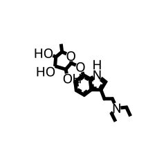 CCN(CC)CCc1c[nH]c2c(OC3OC(C)C(O)C(O)C3O)cccc12